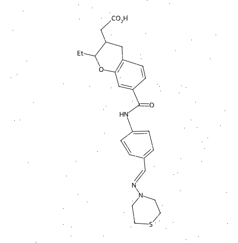 CCC1Oc2cc(C(=O)Nc3ccc(C=NN4CCSCC4)cc3)ccc2CC1CC(=O)O